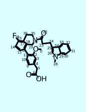 COc1cc(CC(=O)O)ccc1-c1ccc(F)c2c1CN(C(=O)CCc1cn(C)c3ccccc13)CC2